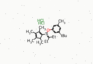 CC[C](CC)=[Ti]([O]c1cc(C)cc(C(C)(C)C)c1)[C]1=C(C)C(C)=C(C)C1C.Cl.Cl